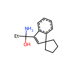 CCC(N)(O)C1=CC2(CCCC2)c2ccccc21